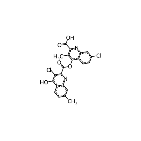 Cc1ccc2c(O)c(Cl)c(C(=O)Oc3c(C)c(C(=O)O)nc4cc(Cl)ccc34)nc2c1